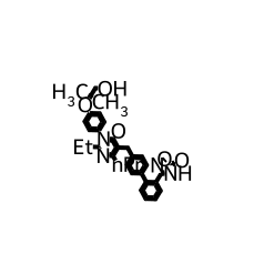 CCCc1nc(CC)n(-c2ccc(OC(C)(C)CO)cc2)c(=O)c1Cc1ccc(-c2ccccc2-c2noc(=O)[nH]2)cc1